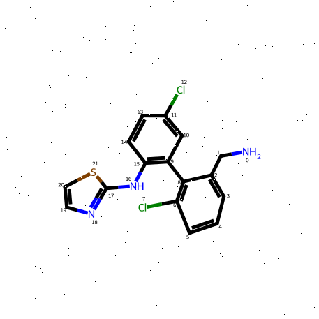 NCc1cccc(Cl)c1-c1cc(Cl)ccc1Nc1nccs1